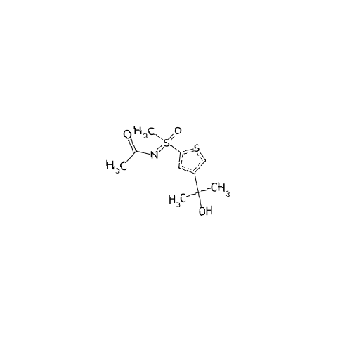 CC(=O)N=S(C)(=O)c1cc(C(C)(C)O)cs1